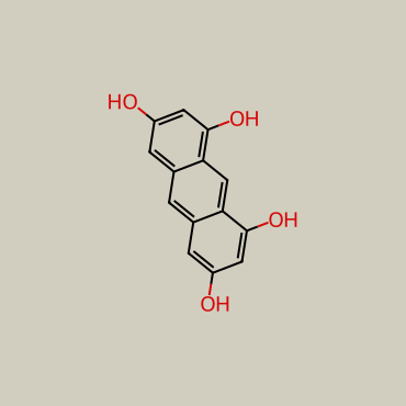 Oc1cc(O)c2cc3c(O)cc(O)cc3cc2c1